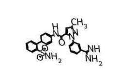 Cc1cc(C(=O)NC2=CCC(c3ccccc3S(N)(=O)=O)C=C2)n(-c2cccc(C(=N)N)c2)n1